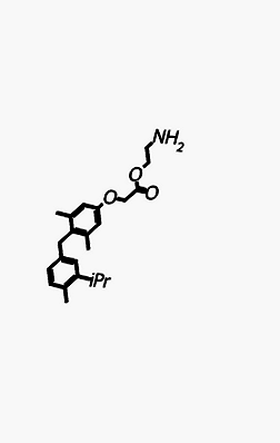 Cc1ccc(Cc2c(C)cc(OCC(=O)OCCN)cc2C)cc1C(C)C